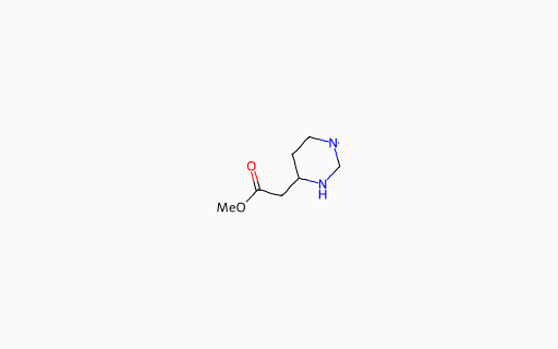 COC(=O)CC1CC[N]CN1